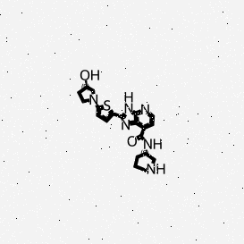 O=C(N[C@H]1CCCNC1)c1ccnc2[nH]c(-c3ccc(N4CC[C@@H](O)C4)s3)nc12